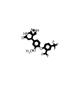 COc1cc(C2CC(=O)Nc3n[nH]cc32)ccc1Oc1ccc(C(F)(F)F)cc1C(F)F